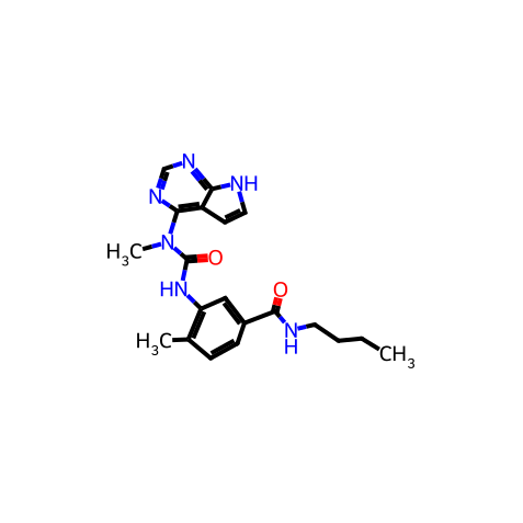 CCCCNC(=O)c1ccc(C)c(NC(=O)N(C)c2ncnc3[nH]ccc23)c1